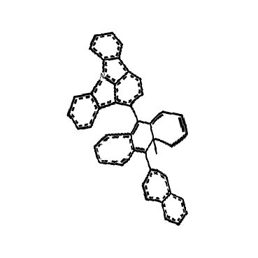 CC12CC=CC=C1C(c1ccc3c4ccccc4n4c5ccccc5c1c34)=c1ccccc1=C2c1ccc2ccccc2c1